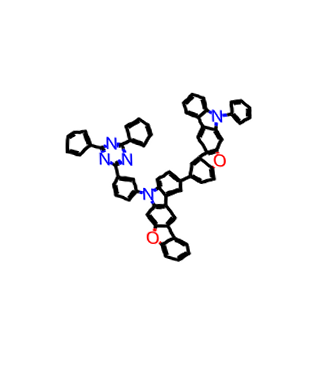 c1ccc(-c2nc(-c3ccccc3)nc(-c3cccc(-n4c5ccc(-c6ccc7oc8cc9c(cc8c7c6)c6ccccc6n9-c6ccccc6)cc5c5cc6c(cc54)oc4ccccc46)c3)n2)cc1